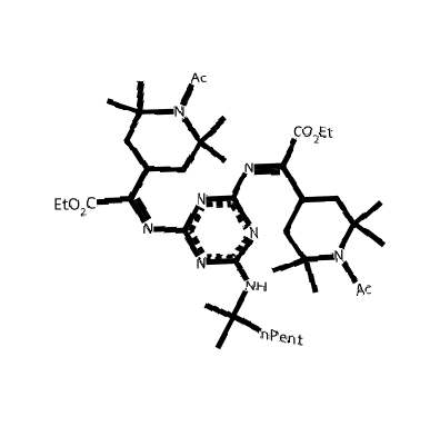 CCCCCC(C)(C)Nc1nc(N=C(C(=O)OCC)C2CC(C)(C)N(C(C)=O)C(C)(C)C2)nc(N=C(C(=O)OCC)C2CC(C)(C)N(C(C)=O)C(C)(C)C2)n1